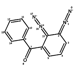 [N-]=[N+]=C1C=CC=C(C(=O)c2ccccc2)C1=[N+]=[N-]